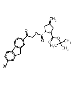 C=C1C[C@@H](C(=O)OCC(=O)c2ccc3c(c2)Cc2cc(Br)ccc2-3)N(C(=O)OC(C)(C)C)C1